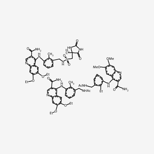 CCOc1cc2ncc(C(N)=O)c(Nc3cccc(CNC(C)=O)c3C)c2cc1OCC.CCOc1cc2ncc(C(N)=O)c(Nc3cccc(CNS(=O)(=O)CC4(C)NC(=O)NC4=O)c3C)c2cc1OCC.CCc1c(CNC(C)=O)cccc1Nc1c(C(N)=O)cnc2cc(OC)c(OC)cc12